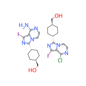 Nc1nccn2c1c(I)nc2[C@H]1CC[C@H](CO)CC1.OC[C@H]1CC[C@H](c2nc(I)c3c(Cl)nccn32)CC1